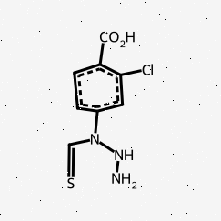 NNN(C=S)c1ccc(C(=O)O)c(Cl)c1